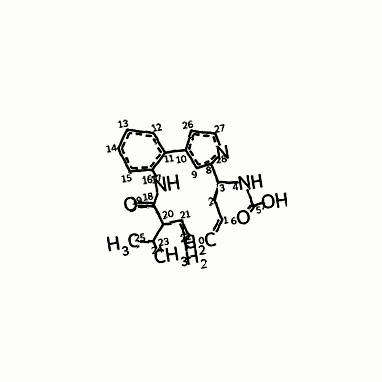 C=CC[C@H](NC(=O)O)c1cc(-c2ccccc2NC(=O)C(C=C)C(C)C)ccn1